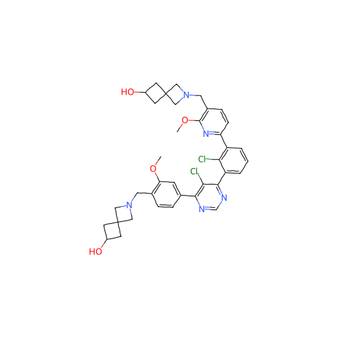 COc1cc(-c2ncnc(-c3cccc(-c4ccc(CN5CC6(CC(O)C6)C5)c(OC)n4)c3Cl)c2Cl)ccc1CN1CC2(CC(O)C2)C1